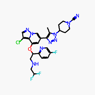 Cc1c(-c2cc(OC(CNCC(F)F)c3ccc(F)cn3)c3c(Cl)cnn3c2)nnn1C1CCN(C#N)CC1